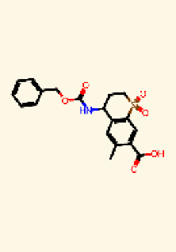 Cc1cc2c(cc1C(=O)O)S(=O)(=O)CC[C@@H]2NC(=O)OCc1ccccc1